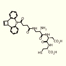 N[C@@H](CNC(=O)CCC(=O)N1c2ccccc2C2C=CC2c2ccccc21)C(=O)N[C@@H](CC(=O)O)C(=O)N[C@@H](CS)C(=O)O